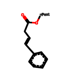 CCCCCOC(=O)CC=Cc1ccccc1